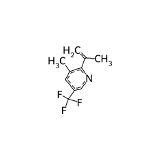 C=C(C)c1ncc(C(F)(F)F)cc1C